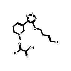 CCC=CCCOc1nsnc1C1=CCCN(C)C1.O=C(O)C(=O)O